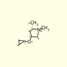 C[C@H]1CC(OC2CC2)CN1C